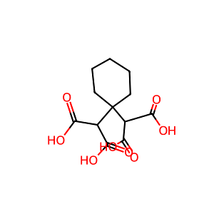 O=C(O)C(C(=O)O)C1(C(C(=O)O)C(=O)O)CCCCC1